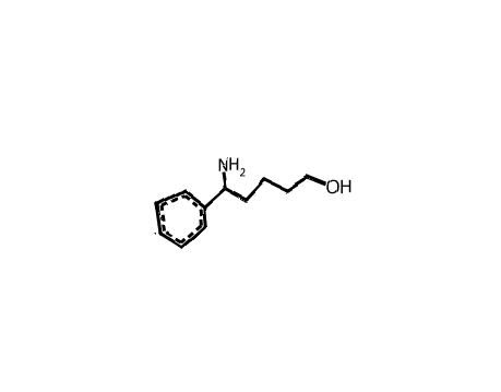 NC(CCCCO)c1cc[c]cc1